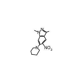 Cc1nn(C)c2cc(N3CCCCC3)c([N+](=O)[O-])cc12